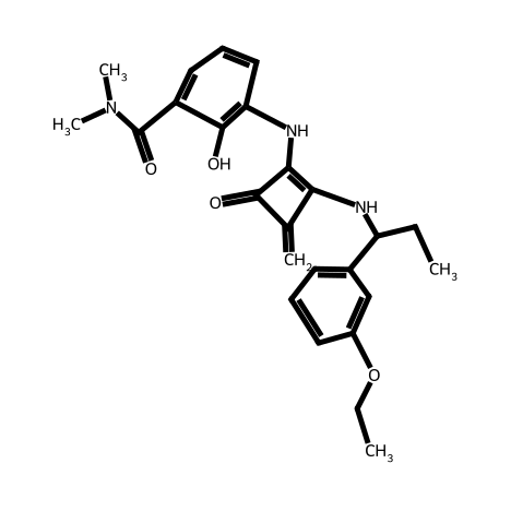 C=C1C(=O)C(Nc2cccc(C(=O)N(C)C)c2O)=C1NC(CC)c1cccc(OCC)c1